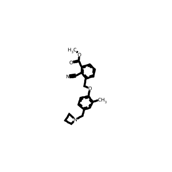 COC(=O)c1cccc(COc2ccc(CN3CCC3)cc2C)c1C#N